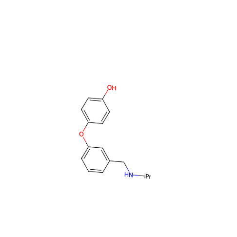 CC(C)NCc1cccc(Oc2ccc(O)cc2)c1